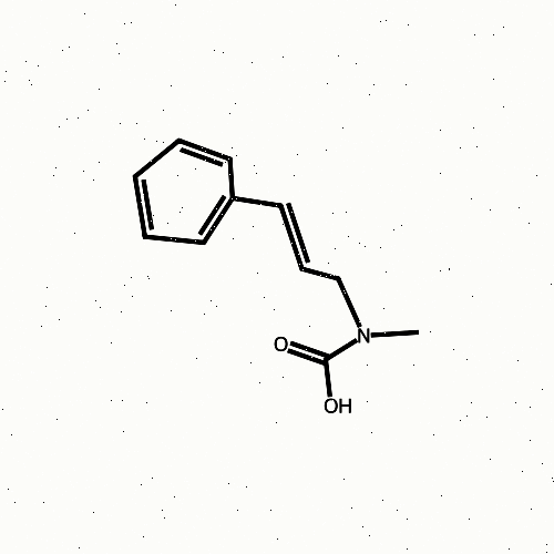 CN(C/C=C/c1ccccc1)C(=O)O